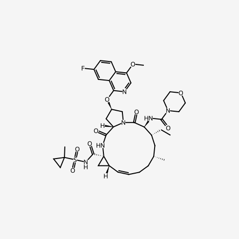 CC[C@@H]1C[C@H](C)CCC=C[C@@H]2C[C@@]2(C(=O)NS(=O)(=O)C2(C)CC2)NC(=O)[C@@H]2C[C@@H](Oc3ncc(OC)c4ccc(F)cc34)CN2C(=O)[C@H]1NC(=O)N1CCOCC1